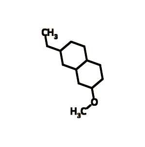 CCC1CCC2CCC(OC)CC2C1